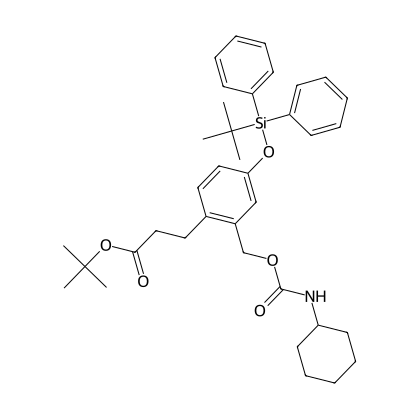 CC(C)(C)OC(=O)CCc1ccc(O[Si](c2ccccc2)(c2ccccc2)C(C)(C)C)cc1COC(=O)NC1CCCCC1